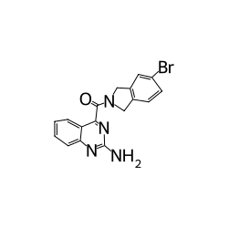 Nc1nc(C(=O)N2Cc3ccc(Br)cc3C2)c2ccccc2n1